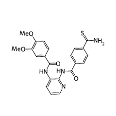 COc1ccc(C(=O)Nc2cccnc2NC(=O)c2ccc(C(N)=S)cc2)cc1OC